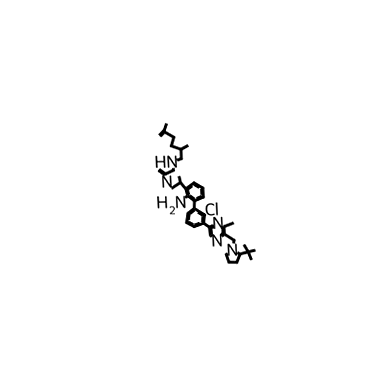 C=C(C)CCC(C)CNCC(=C)/N=C\C(C)c1cccc(-c2cccc(-c3cnc(CN4CCCC4C(C)(C)C)c(C)n3)c2Cl)c1N